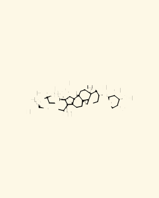 CC(=O)O[C@@H]([C@H]1C[C@@H](C)[C@H]2[C@@](O)(O1)[C@H](O)[C@@]1(O)[C@@H]3CC[C@H]4C(C)(C)[C@@H](O[C@@H]5OC[C@@H](O)[C@H](O)[C@H]5O)CC[C@@]45C[C@@]35CC[C@]21C)C(C)(C)O